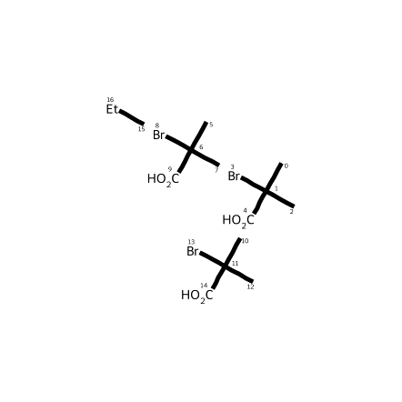 CC(C)(Br)C(=O)O.CC(C)(Br)C(=O)O.CC(C)(Br)C(=O)O.CCC